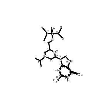 CC(C)N1CC(COP(=O)(C(C)C)N(C)C)OC(N2CNc3c2nc(N)[nH]c3=O)C1